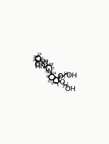 OCCOc1ccc2c(c1OCCO)CC(N1CCc3nc(-c4ccccc4Cl)[nH]c3C1)CC2